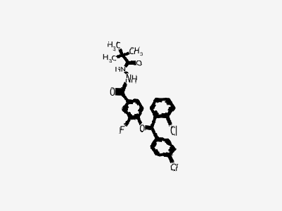 CC(C)(C)C(=O)NNC(=O)c1ccc(OC(c2ccc(Cl)cc2)c2ccccc2Cl)c(F)c1